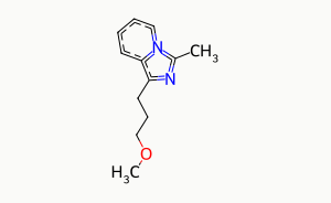 COCCCc1nc(C)n2ccccc12